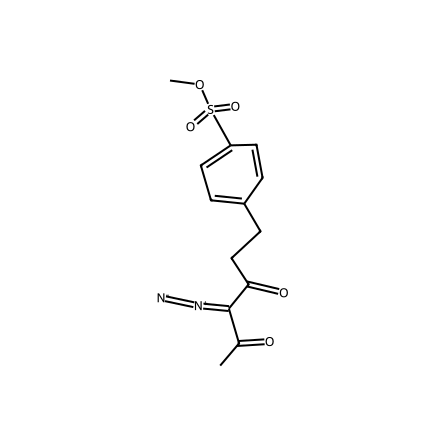 COS(=O)(=O)c1ccc(CCC(=O)C(=[N+]=[N-])C(C)=O)cc1